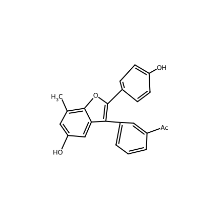 CC(=O)c1cccc(-c2c(-c3ccc(O)cc3)oc3c(C)cc(O)cc23)c1